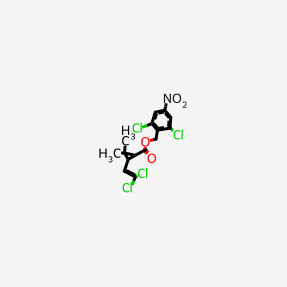 CC1(C)C(C=C(Cl)Cl)C1C(=O)OCc1c(Cl)cc([N+](=O)[O-])cc1Cl